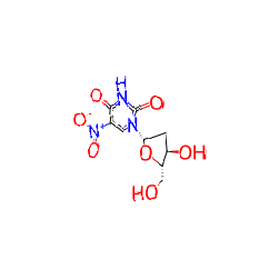 O=c1[nH]c(=O)n([C@@H]2C[C@@H](O)[C@H](CO)O2)cc1[N+](=O)[O-]